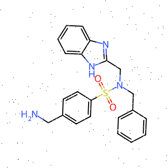 NCc1ccc(S(=O)(=O)N(Cc2ccccc2)Cc2nc3ccccc3[nH]2)cc1